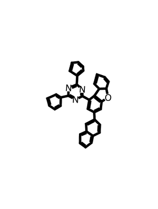 C1=CC2Oc3cc(-c4ccc5ccccc5c4)cc(-c4nc(-c5ccccc5)nc(-c5ccccc5)n4)c3C2C=C1